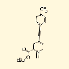 CC(C)(C)OC(=O)C1CC(C#Cc2ccc(C(F)(F)F)cc2)=CCN1